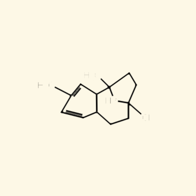 CC1=CC2C(C=C1)CCC1(C)BC2(C)CC1